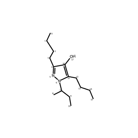 CCCCc1nn(C(C)CC)c(CCCC)c1O